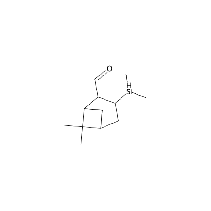 C[SiH](C)C1CC2CC(C1C=O)C2(C)C